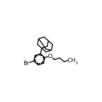 CCCCOc1ccc(Br)cc1C12CC3CC(CC(C3)C1)C2